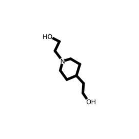 OCCC1CCN(CCO)CC1